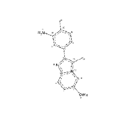 COc1ccc2nc(-c3ccc(C)c(N)c3)c(C)n2n1